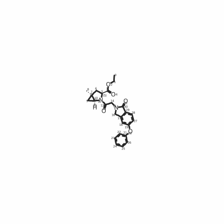 CCOC(=O)[C@@H]1C[C@]2(C)C[C@@H]2N1C(=O)CN1Cc2cc(Oc3ccccc3)ccc2C1=O